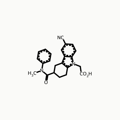 CN(C(=O)C1CCc2c(c3cc(C#N)ccc3n2CC(=O)O)C1)c1ccccc1